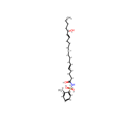 CCCC[C@@H](O)C=CCCCCCCCC=CCCCC(=O)NS(=O)(=O)c1ccccc1C